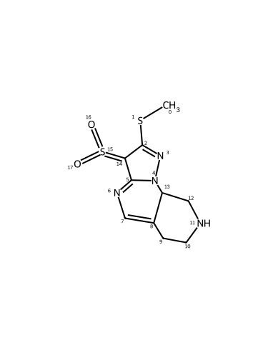 CSC1=NN2C(=NC=C3CCNCC32)C1=S(=O)=O